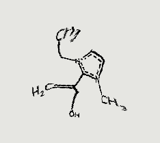 C=C(O)c1n(C)cc[n+]1CC